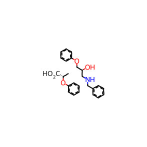 C[C@H](Oc1ccccc1)C(=O)O.O[C@@H](CNCc1ccccc1)COc1ccccc1